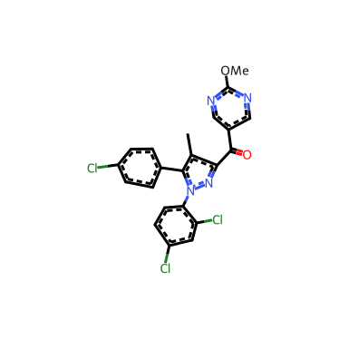 COc1ncc(C(=O)c2nn(-c3ccc(Cl)cc3Cl)c(-c3ccc(Cl)cc3)c2C)cn1